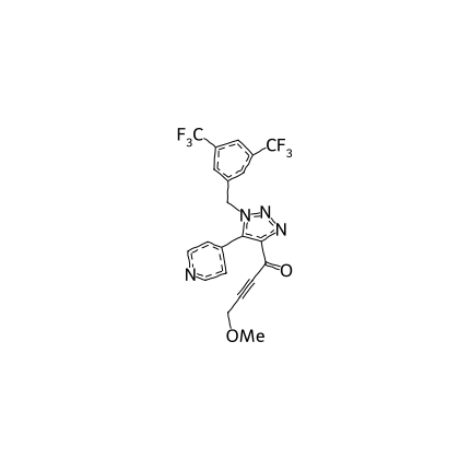 COCC#CC(=O)c1nnn(Cc2cc(C(F)(F)F)cc(C(F)(F)F)c2)c1-c1ccncc1